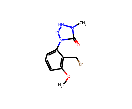 COc1cccc(N2NNN(C)C2=O)c1CBr